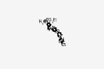 CCOC(=O)N(C)c1ccc2c(ccn2-c2ccc(OC3CCN(c4cnc(CC)cn4)CC3)cn2)c1